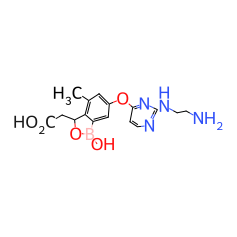 Cc1cc(Oc2ccnc(NCCN)n2)cc2c1C(CC(=O)O)OB2O